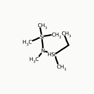 CC[SiH](C)N(C)[Si](C)(C)C